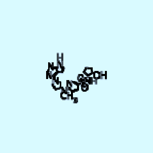 CN(c1ccc(S(=O)(=O)NC2CCCC2O)cn1)[C@@H]1CCN(c2ncnc3[nH]ccc23)C1